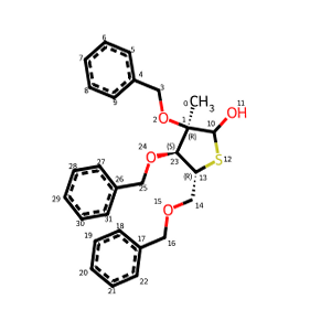 C[C@]1(OCc2ccccc2)C(O)S[C@H](COCc2ccccc2)[C@H]1OCc1ccccc1